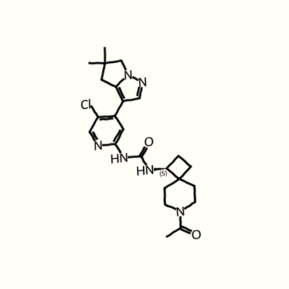 CC(=O)N1CCC2(CC[C@@H]2NC(=O)Nc2cc(-c3cnn4c3CC(C)(C)C4)c(Cl)cn2)CC1